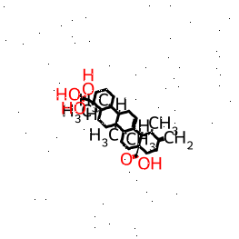 C=C1CC[C@]2(C(=O)O)CC[C@]3(C)C(=CC[C@@H]4[C@@]5(C)CCCC(C)(C(O)(O)O)[C@@H]5CC[C@]43C)[C@@H]2[C@H]1C